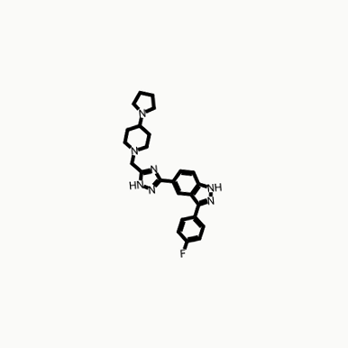 Fc1ccc(-c2n[nH]c3ccc(-c4n[nH]c(CN5CCC(N6CCCC6)CC5)n4)cc23)cc1